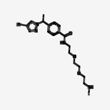 CC(C)c1cnn(C(C)c2ccc(C(=O)NCCOCCOCCNI)cc2)c1